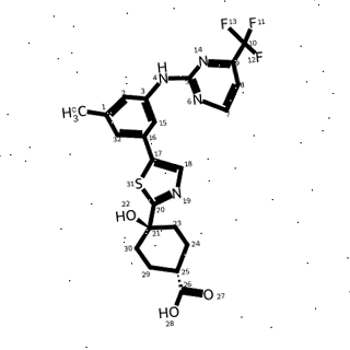 Cc1cc(Nc2nccc(C(F)(F)F)n2)cc(-c2cnc([C@]3(O)CC[C@H](C(=O)O)CC3)s2)c1